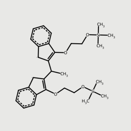 CC(C1=C(OCCO[Si](C)(C)C)c2ccccc2[CH]1)C1=C(OCCO[Si](C)(C)C)c2ccccc2[CH]1